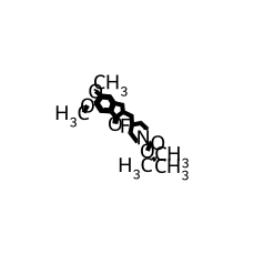 COc1cc2c(cc1OC)C(=O)C(CC1(F)CCN(C(=O)OC(C)(C)C)CC1)C2